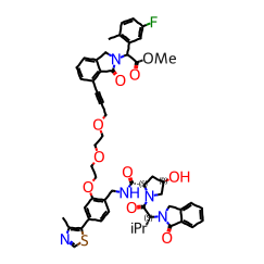 COC(=O)C(c1cc(F)ccc1C)N1Cc2cccc(C#CCOCCOCCOc3cc(-c4scnc4C)ccc3CNC(=O)[C@@H]3C[C@@H](O)CN3C(=O)[C@H](C(C)C)N3Cc4ccccc4C3=O)c2C1=O